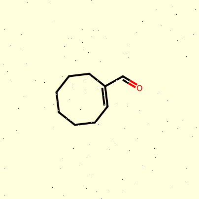 O=C/C1=C/CCCCCC1